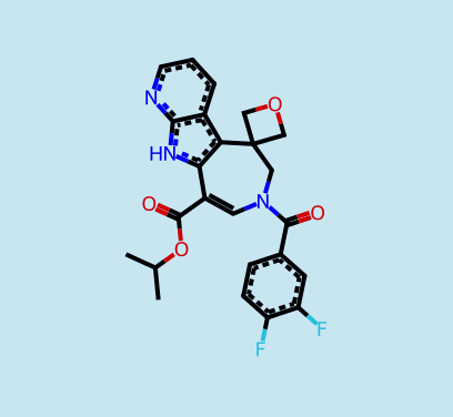 CC(C)OC(=O)C1=CN(C(=O)c2ccc(F)c(F)c2)CC2(COC2)c2c1[nH]c1ncccc21